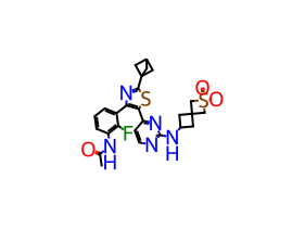 CC(=O)Nc1cccc(-c2nc(C34CC(C3)C4)sc2-c2ccnc(NC3CC4(C3)CS(=O)(=O)C4)n2)c1F